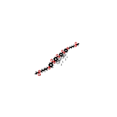 C=CC(=O)OCCCCCCOc1ccc(OC(=O)c2ccc(OC(=O)c3ccc(OC(=O)c4ccc(OCCCCCCOC(=O)C=C)cc4)c(C(F)(F)F)c3C(F)(F)F)c(C(F)(F)F)c2C(F)(F)F)cc1